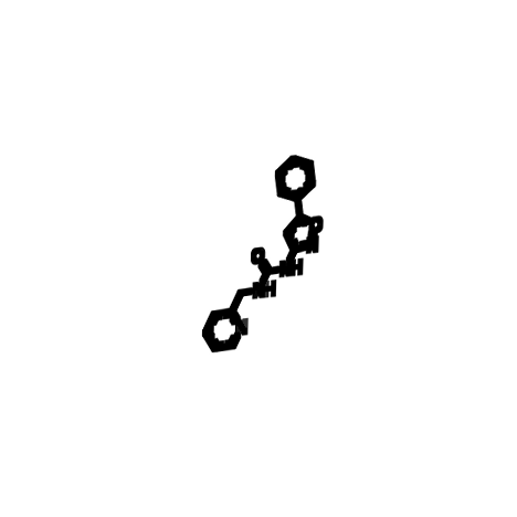 O=C(NCc1ccccn1)Nc1cc(-c2ccccc2)on1